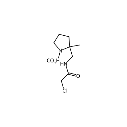 CC1(CNC(=O)CCl)CCCN1C(=O)O